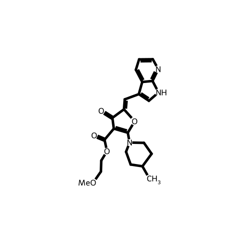 COCCOC(=O)C1=C(N2CCC(C)CC2)OC(=Cc2c[nH]c3ncccc23)C1=O